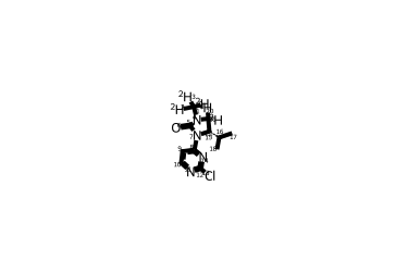 [2H]C([2H])([2H])N1C(=O)N(c2ccnc(Cl)n2)[C@@H](C(C)C)C1([2H])[2H]